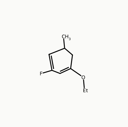 CCOC1=CC(F)=CC(C)C1